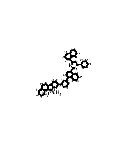 CC1(C)c2cc(-c3cccc(-c4ccc(-c5nc(-c6ccccc6)cc(-c6cccc7ccccc67)n5)c5ccccc45)c3)ccc2-c2ccc3ccccc3c21